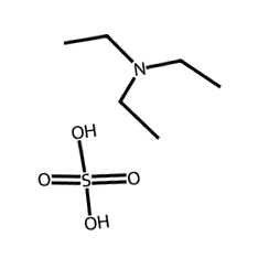 CCN(CC)CC.O=S(=O)(O)O